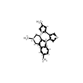 Cc1csc(-c2cscc2-n2c3c(c4cc(C)ccc42)CN(C)CC3)c1